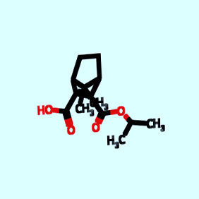 CC(C)OC(=O)C1=C(C(=O)O)C2CCC1C2(C)C